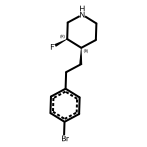 F[C@H]1CNCC[C@H]1CCc1ccc(Br)cc1